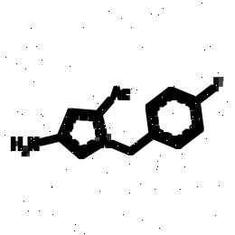 CC(=O)c1cc(N)cn1Cc1ccc(F)cc1